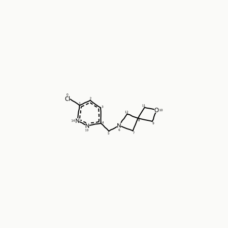 Clc1ccc(CN2CC3(COC3)C2)nn1